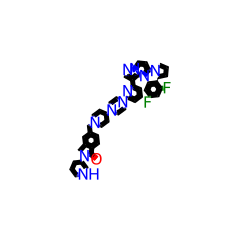 O=C1c2ccc(CN3CCC(N4CCN(c5cccc(-c6cnn7ccc(N8CCC[C@@H]8c8ccc(F)cc8F)nc67)n5)CC4)CC3)cc2CN1C1CCCNC1